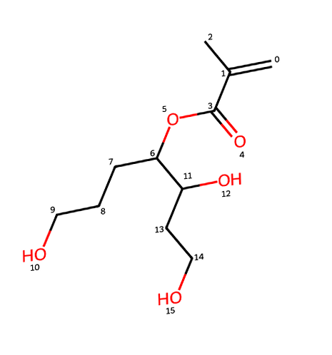 C=C(C)C(=O)OC(CCCO)C(O)CCO